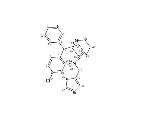 Clc1ccc(C(c2ccccc2)C2C(=NCc3cccs3)C3CCN2CC3)c(Cl)c1